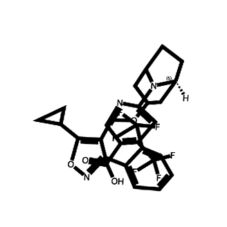 O=C(O)c1cnc(N2C3CC[C@H]2CC(OCc2c(-c4ccccc4C(F)(F)F)noc2C2CC2)C3)cc1C(F)(F)F